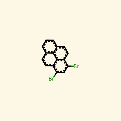 Brc1cc(Br)c2ccc3cccc4ccc1c2c43